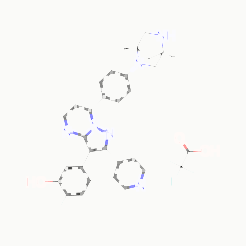 O=C(O)C(F)(F)F.Oc1cc(-c2c(-c3ccncc3)nn3c(-c4ccc(N5C[C@@H]6C[C@H]5CN6)cc4)ccnc23)ccc1F